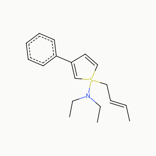 CC=CCS1(N(CC)CC)C=CC(c2ccccc2)=C1